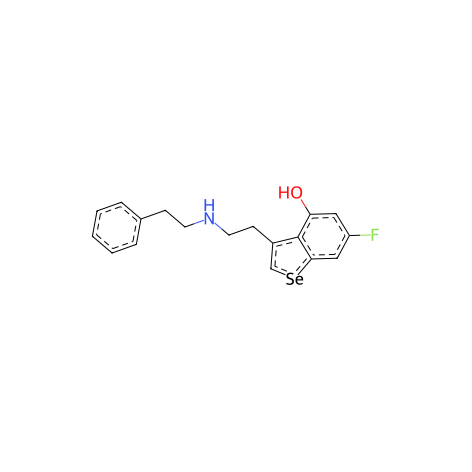 Oc1cc(F)cc2[se]cc(CCNCCc3ccccc3)c12